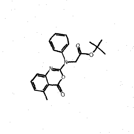 Cc1cccc2nc(N(CC(=O)OC(C)(C)C)c3ccccc3)oc(=O)c12